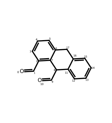 O=Cc1cccc2c1C(C=O)c1ccccc1C2